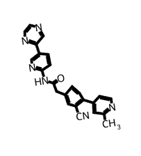 Cc1cc(-c2ccc(CC(=O)Nc3ccc(-c4cnccn4)cn3)cc2C#N)ccn1